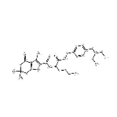 CCCCC(NC(=O)c1[nH]c2c(c1C)C(=O)CC(C)(C)C2)C(=O)NCc1ccc(CN(CC)CC)cc1